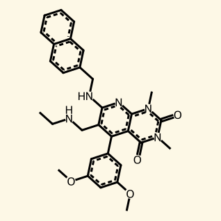 CCNCc1c(NCc2ccc3ccccc3c2)nc2c(c1-c1cc(OC)cc(OC)c1)c(=O)n(C)c(=O)n2C